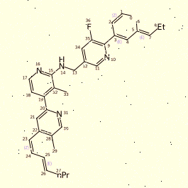 C\C=C/C(=C\C(C)=C\CC)c1ncc(CNc2nccc(-c3cc(/C=C\C=C\CCC)c(C)cn3)c2C)cc1F